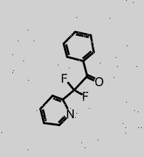 O=C(c1ccccc1)C(F)(F)c1ccccn1